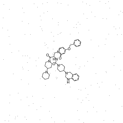 O=C(NC(Cn1ccc(OCc2ccccc2)cc1=O)C(=O)N1CCC(N2CCCCC2)CC1)N1CCC(N2CNc3ccccc3C2)CC1